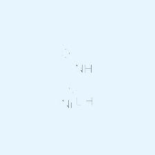 O=[NH+][O-].[LiH].[Ni]